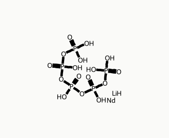 O=P(O)(O)OP(=O)(O)OP(=O)(O)OP(=O)(O)OP(=O)(O)O.[LiH].[Nd]